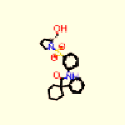 O=C(Nc1cccc(S(=O)(=O)N2CCC[C@@H]2CO)c1)C1(c2ccccc2)CCCCC1